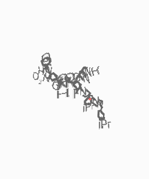 CC(C)c1ccc(CN2CCN(C3CC4(CCN(c5cc(Oc6cnc7[nH]ccc7c6)c(C(=O)NS(=O)(=O)c6ccc(NCC7(F)CCOCC7)c([N+](=O)[O-])c6)cc5F)CC4)C3)C(c3ccccc3)(C(C)C)C2)cc1